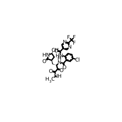 CNC(=O)C(=O)[C@H](C[C@@H]1C[C@@H](C)NC1=O)NC(=O)c1cc(Cl)ccc1NC(=O)c1cnc(C(F)(F)F)nc1